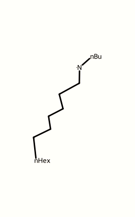 CCCCCCCCCCCC[N]CCCC